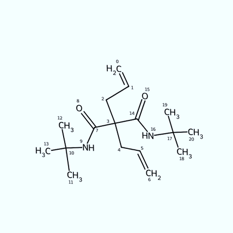 C=CCC(CC=C)(C(=O)NC(C)(C)C)C(=O)NC(C)(C)C